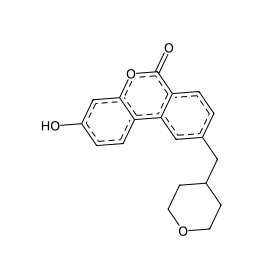 O=c1oc2cc(O)ccc2c2cc(CC3CCOCC3)ccc12